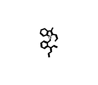 C=C/C=C(/C=C)c1ccccc1Cn1c2c(c(C)c1/C=C\C)CCC=C2